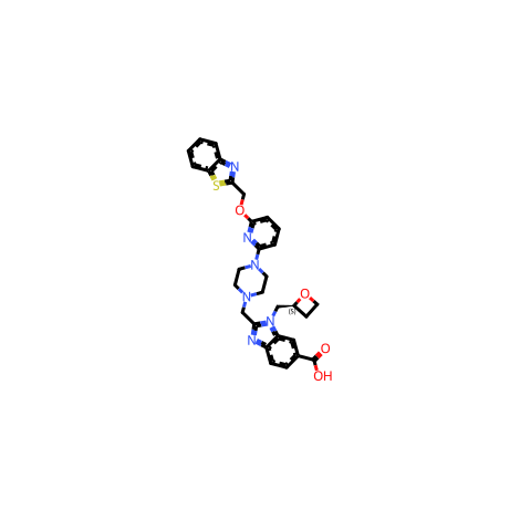 O=C(O)c1ccc2nc(CN3CCN(c4cccc(OCc5nc6ccccc6s5)n4)CC3)n(C[C@@H]3CCO3)c2c1